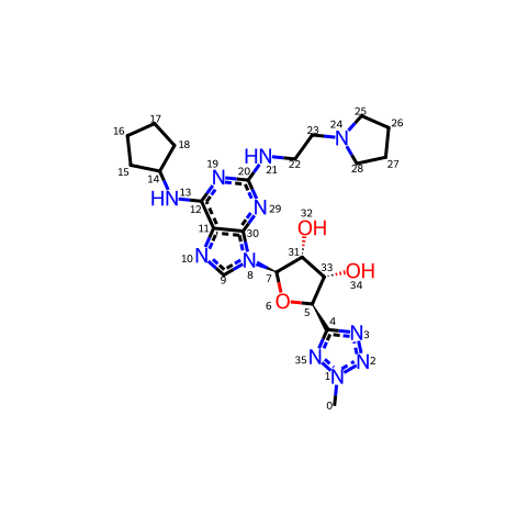 Cn1nnc([C@H]2O[C@@H](n3cnc4c(NC5CCCC5)nc(NCCN5CCCC5)nc43)[C@H](O)[C@@H]2O)n1